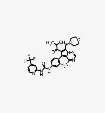 CC(C)C(=O)c1c(-c2ccc(NC(=O)Nc3cc(C(F)(F)F)ccn3)cc2)c2c(N)ncnn2c1CN1CCOCC1